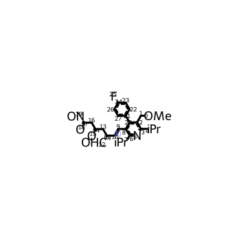 COCc1c(C(C)C)nc(C(C)C)c(/C=C/[C@@H](C=O)CC(=O)CC(=O)N=O)c1-c1ccc(F)cc1